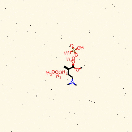 C=C(CCN(C)C)C(=O)OC.O.O.O.O.O=S(=O)(O)O